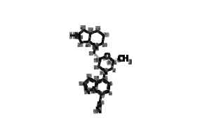 C[C@@H]1CN(c2ccc(C#N)n3nccc23)C[C@H](CN2CCCC3CNCC32)O1